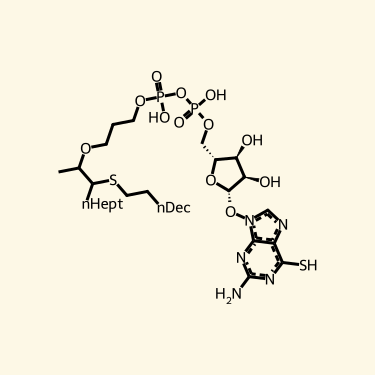 CCCCCCCCCCCCSC(CCCCCCC)C(C)OCCCOP(=O)(O)OP(=O)(O)OC[C@H]1O[C@@H](On2cnc3c(S)nc(N)nc32)[C@H](O)[C@@H]1O